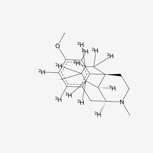 [2H]c1c([2H])c(OC)c([2H])c2c1C[C@]1([2H])N(C)CC[C@]23C([2H])([2H])C([2H])([2H])C([2H])(C)C([2H])([2H])[C@]13[2H]